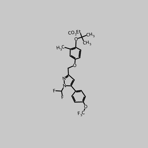 CCOC(=O)C(C)(C)Oc1ccc(OCc2cc(-c3ccc(OC(F)(F)F)cc3)n(C(F)F)n2)cc1C